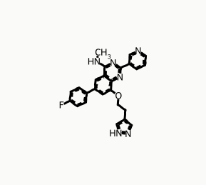 CNc1nc(-c2cccnc2)nc2c(OCCc3cn[nH]c3)cc(-c3ccc(F)cc3)cc12